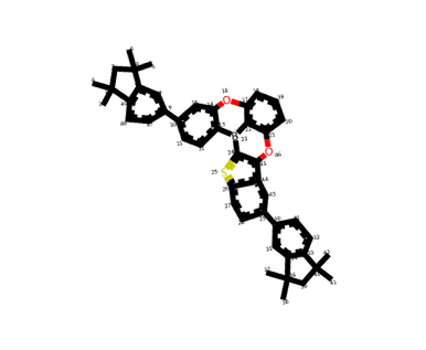 CC1(C)CC(C)(C)c2cc(-c3ccc4c(c3)Oc3cccc5c3B4c3sc4ccc(-c6ccc7c(c6)C(C)(C)CC7(C)C)cc4c3O5)ccc21